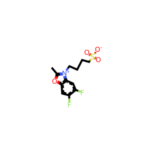 Cc1oc2cc(F)c(F)cc2[n+]1CCCCS(=O)(=O)[O-]